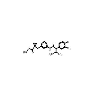 Cc1cc(C(C(=O)Nc2cccc(CC3(C(=O)OC(C)(C)C)CC3)c2)C(C)C(F)(F)F)ccc1Cl